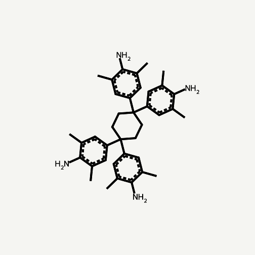 Cc1cc(C2(c3cc(C)c(N)c(C)c3)CCC(c3cc(C)c(N)c(C)c3)(c3cc(C)c(N)c(C)c3)CC2)cc(C)c1N